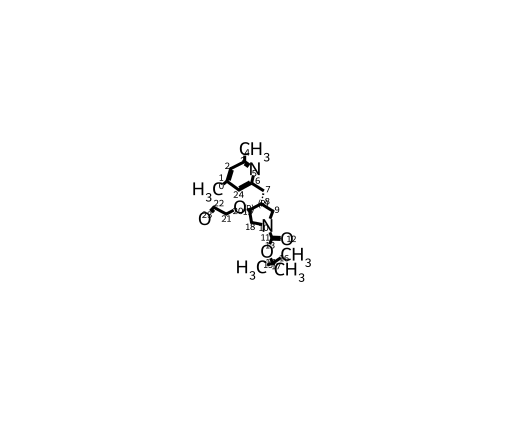 Cc1cc(C)nc(C[C@@H]2CN(C(=O)OC(C)(C)C)C[C@@H]2OCC=O)c1